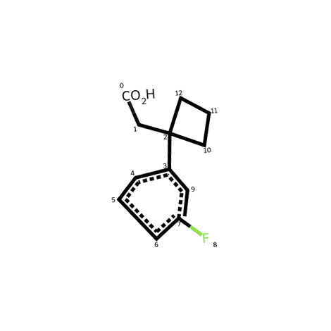 O=C(O)CC1(c2cccc(F)c2)CCC1